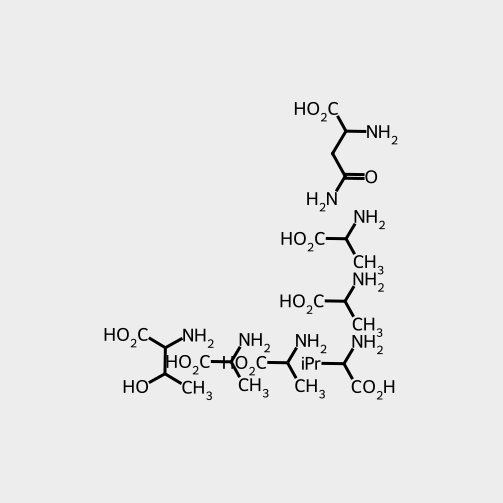 CC(C)C(N)C(=O)O.CC(N)C(=O)O.CC(N)C(=O)O.CC(N)C(=O)O.CC(N)C(=O)O.CC(O)C(N)C(=O)O.NC(=O)CC(N)C(=O)O